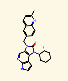 Cc1ccc2cc(Cn3c(=O)n(C4CCCC[C@H]4C)c4c5cc[nH]c5ncc43)ccc2n1